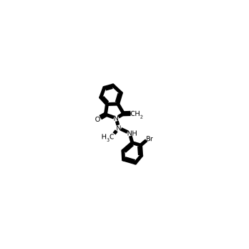 C=C1c2ccccc2C(=O)N1N(C)Nc1ccccc1Br